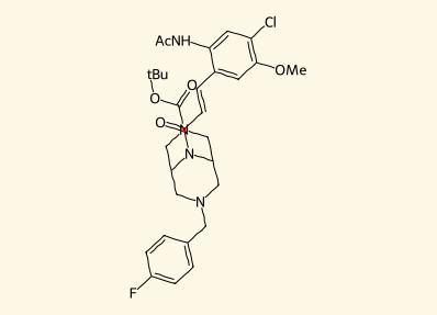 COc1cc(C=CC(=O)N2C3CN(Cc4ccc(F)cc4)CC2CN(C(=O)OC(C)(C)C)C3)c(NC(C)=O)cc1Cl